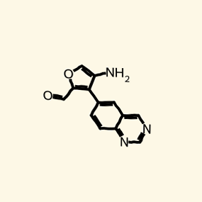 Nc1coc(C=O)c1-c1ccc2ncncc2c1